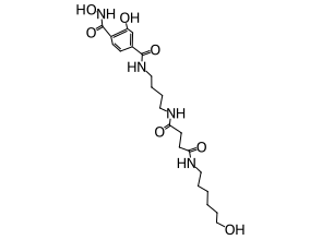 O=C(CCC(=O)NCCCCNC(=O)c1ccc(C(=O)NO)c(O)c1)NCCCCCCO